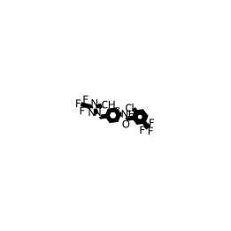 Cc1nc(C(F)(F)F)nn1CC1CCC(NC(=O)c2cc(C(F)(F)F)ccc2Cl)CC1